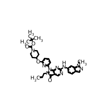 C=CCn1c(=O)c2cnc(Nc3ccc4cnn(C)c4c3)nc2n1-c1cccc(OC2CCN(C(=O)OC(C)(C)C)CC2)n1